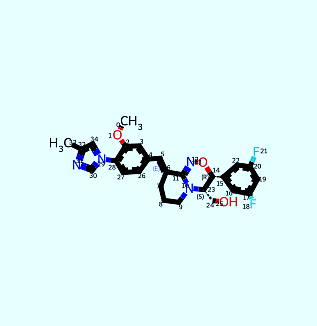 COc1cc(/C=C2\CCCN3C2=NO[C@H](c2cc(F)cc(F)c2)[C@@H]3CO)ccc1-n1cnc(C)c1